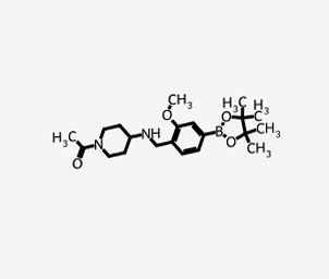 COc1cc(B2OC(C)(C)C(C)(C)O2)ccc1CNC1CCN(C(C)=O)CC1